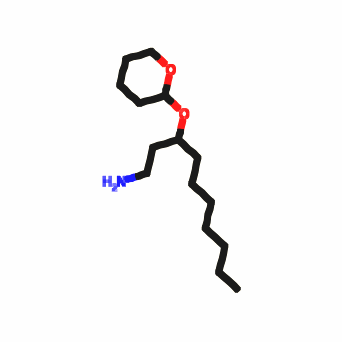 CCCCCCCC(CCN)OC1CCCCO1